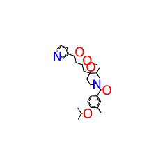 COC1(CC(=O)CC(=O)c2cccnc2)CCN(C(=O)c2ccc(OC(C)C)c(C)c2)CC1C